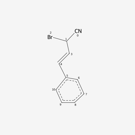 N#CC(Br)/C=C/c1ccccc1